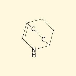 C1=C2CCC(CC2)N1